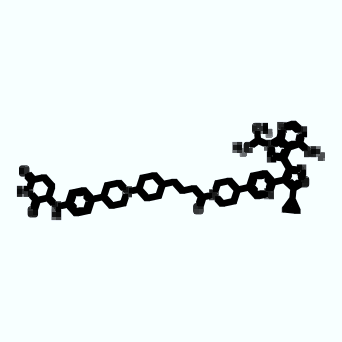 CC(C)n1nc(-c2noc(C3CC3)c2-c2ccc(C3CCN(C(=O)CCCC4CCC(N5CCC(c6ccc(NC7CCC(=O)NC7=O)cc6)CC5)CC4)CC3)cn2)c2c(N)ncnc21